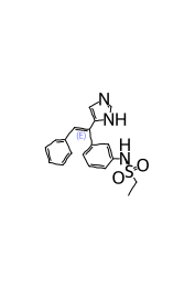 CCS(=O)(=O)Nc1cccc(/C(=C\c2ccccc2)c2cnc[nH]2)c1